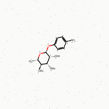 CO[C@@H]1[C@@H](OC)[C@H](C)O[C@@H](Oc2ccc([N+](=O)[O-])cc2)[C@@H]1OC